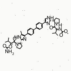 COC(=O)N[C@H](C(=O)N1CCC[C@H]1c1nc(-c2ccc(-c3ccc(-c4nc([C@@H]5CCCN5C(=O)[C@@H](OC(N)=O)C(C)C)[nH]c4C)cc3)cc2)c[nH]1)C(C)C